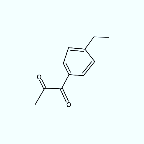 CCc1ccc(C(=O)C(C)=O)cc1